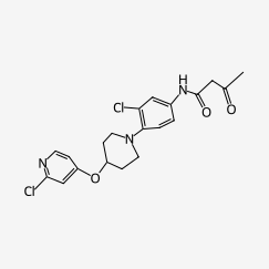 CC(=O)CC(=O)Nc1ccc(N2CCC(Oc3ccnc(Cl)c3)CC2)c(Cl)c1